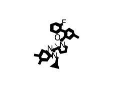 Cc1ccc(-c2ccccc2F)c(C(=O)N2CCC[C@@]2(C)c2nc3cc(C)c(C)cc3n2CC2CC2)c1